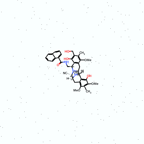 COc1c(C)c(OC)c2c(c1O)[C@H]1[C@@H]3Cc4c(OC)c(C)c(CO)c(O)c4[C@H](CNC(=O)c4cccc5ccccc45)N3[C@@H](C#N)[C@H](C2)N1C